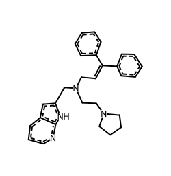 C(CN(CCN1CCCC1)Cc1cc2cccnc2[nH]1)=C(c1ccccc1)c1ccccc1